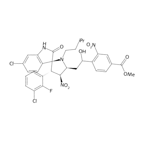 COC(=O)c1ccc(C(O)C[C@H]2[C@@H]([N+](=O)[O-])[C@H](c3cccc(Cl)c3F)[C@]3(C(=O)Nc4cc(Cl)ccc43)N2CCC(C)C)c([N+](=O)[O-])c1